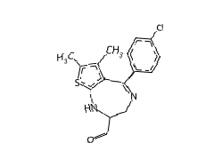 Cc1sc2c(c1C)C(c1ccc(Cl)cc1)=NCC(C=O)N2